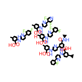 Cc1ccc(Nc2ccc(-c3c(F)cncc3F)nc2)c(C(=O)O)c1.Cc1ccc(Nc2ccc(-c3cc(F)ccc3F)nc2)c(C(=O)O)c1.Cc1ccc(Nc2ccc(-c3ccc(F)cc3F)nc2)c(C(=O)O)c1.Cc1ccc(Nc2ccc(-c3cccc(C(=O)NC4CC4)c3)nc2)c(C(=O)O)c1.O=C(O)c1cc(C2CC2)ccc1Nc1ccc(-c2ccccc2F)nc1